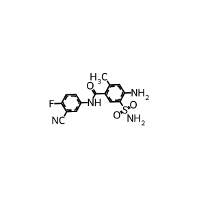 Cc1cc(N)c(S(N)(=O)=O)cc1C(=O)Nc1ccc(F)c(C#N)c1